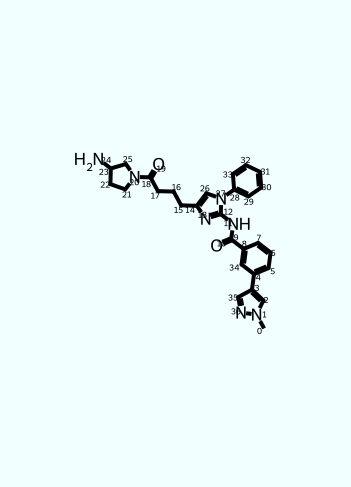 Cn1cc(-c2cccc(C(=O)Nc3nc(CCCC(=O)N4CCC(N)C4)cn3-c3ccccc3)c2)cn1